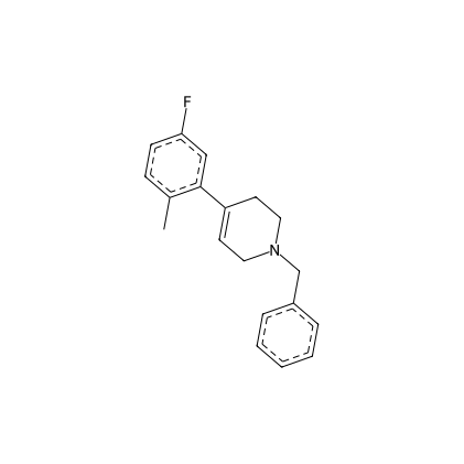 Cc1ccc(F)cc1C1=CCN(Cc2ccccc2)CC1